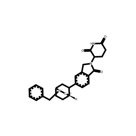 O=C1CCC(N2Cc3cc(C4CC5CC[C@@H]4CN5Cc4ccccc4)ccc3C2=O)C(=O)N1